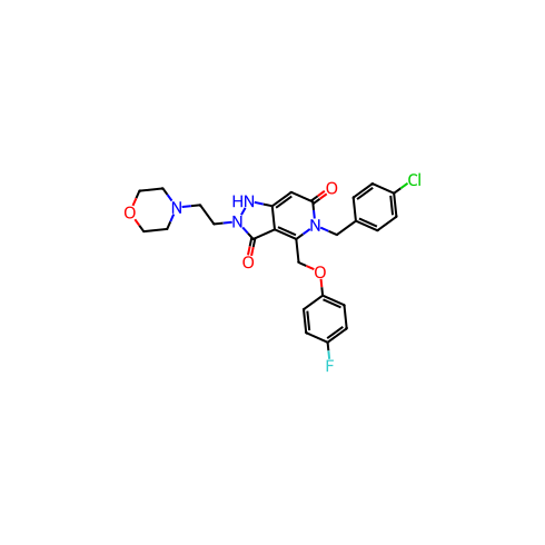 O=c1c2c(COc3ccc(F)cc3)n(Cc3ccc(Cl)cc3)c(=O)cc2[nH]n1CCN1CCOCC1